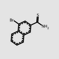 NC(=S)c1cc(Br)c2ccccc2c1